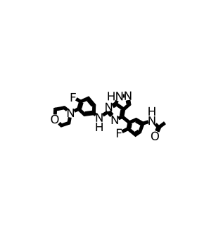 CC(=O)Nc1ccc(F)c(-c2nc(Nc3ccc(F)c(N4CCOCC4)c3)nc3[nH]ncc23)c1